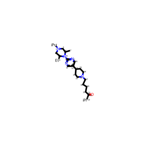 CCC1CN(C(C)C)CC(C)N1c1ncc(C2CCN(CCCCC(=O)C(C)C)CC2)cn1